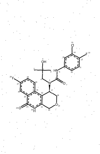 CC(C)(O)CN(C(=O)Nc1ccc(F)c(Cl)c1)[C@H]1COCc2[nH]c(=O)c3cc(F)ccc3c21